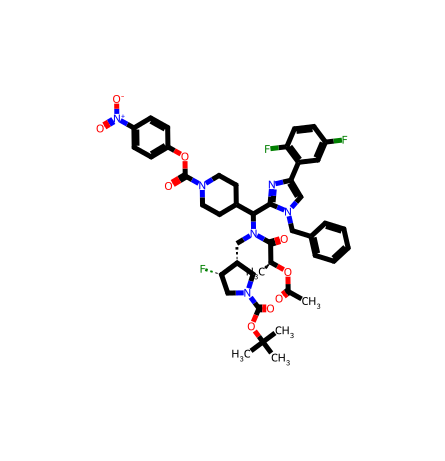 CC(=O)O[C@H](C)C(=O)N(C[C@@H]1CN(C(=O)OC(C)(C)C)C[C@@H]1F)C(c1nc(-c2cc(F)ccc2F)cn1Cc1ccccc1)C1CCN(C(=O)Oc2ccc([N+](=O)[O-])cc2)CC1